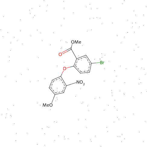 COC(=O)c1cc(Br)ccc1Oc1ccc(OC)cc1[N+](=O)[O-]